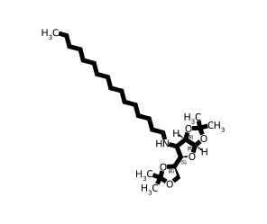 CCCCCCCCCCCCCCCCNC1[C@H]2OC(C)(C)O[C@H]2O[C@@H]1[C@H]1COC(C)(C)O1